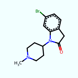 CN1CCC(N2C(=O)Cc3ccc(Br)cc32)CC1